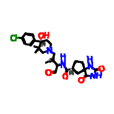 C[C@@H](CN1CC[C@](O)(c2ccc(Cl)cc2)C(C)(C)C1)C(C=O)NC(=O)[C@@H]1CCC2(C1)NC(=O)NC2=O